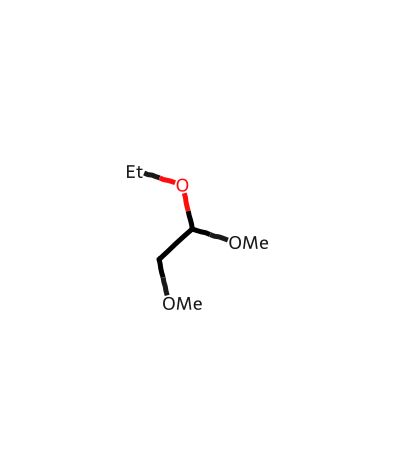 CCOC(COC)OC